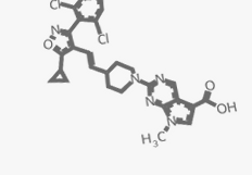 Cn1cc(C(=O)O)c2cnc(N3CCC(C=Cc4c(-c5c(Cl)cccc5Cl)noc4C4CC4)CC3)nc21